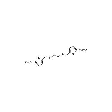 O=Cc1ccc(COCCOCc2ccc(C=O)o2)o1